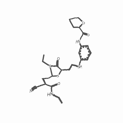 CCNC(=O)C(C#N)CC1SC(CCNc2cccc(NC(=O)C3CCCO3)c2)C(=O)N1CC